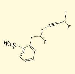 CC(F)C#CCC(F)Cc1ccccc1C(=O)O